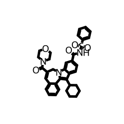 O=C(NS(=O)(=O)c1ccccc1)c1ccc2c(C3CCCCC3)c3n(c2c1)CC(C(=O)N1CCOCC1)=Cc1ccccc1-3